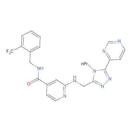 CCCn1c(CNc2cc(C(=O)NCc3ccccc3C(F)(F)F)ccn2)nnc1-c1ccncn1